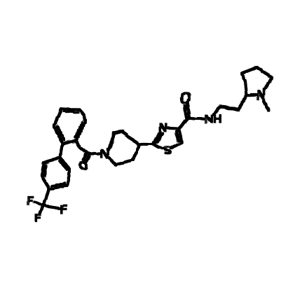 CN1CCCC1CCNC(=O)c1csc(C2CCN(C(=O)c3ccccc3-c3ccc(C(F)(F)F)cc3)CC2)n1